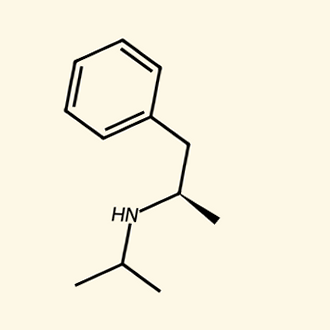 CC(C)N[C@H](C)Cc1ccccc1